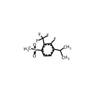 CC(C)c1ccc(S(C)(=O)=O)c(C(F)(F)F)c1F